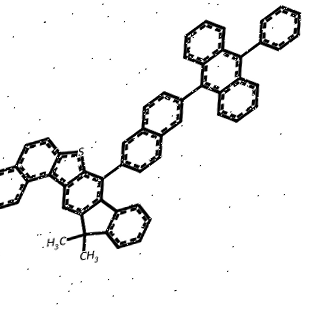 CC1(C)c2ccccc2-c2c1cc1c(sc3ccc4ccccc4c31)c2-c1ccc2cc(-c3c4ccccc4c(-c4ccccc4)c4ccccc34)ccc2c1